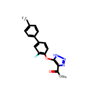 COC(=O)c1nn[nH]c1Oc1ccc(-c2ccc(C(F)(F)F)cc2)cc1F